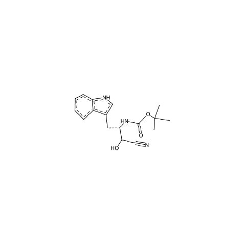 CC(C)(C)OC(=O)N[C@@H](Cc1c[nH]c2ccccc12)C(O)C#N